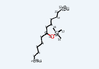 CC(C)(C)CCCCCC(CCCCCC(C)(C)C)O[Si](C)(C)C